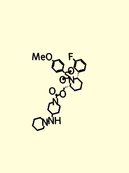 COc1ccc(S(=O)(=O)N2[C@@H](COC(=O)N3CCC(NN4CCCCC4)CC3)CCC[C@H]2c2cccc(F)c2)cc1